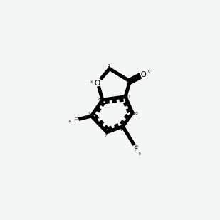 O=C1COc2c(F)cc(F)cc21